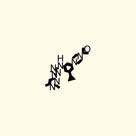 Cc1cc(-n2cnc(Nc3cc(C4CC4)cc(N4CCN(C5COC5)CC4)c3)n2)nc(C)n1